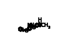 Cc1cc2cc(Oc3ncnc4cc(OCCN5CCCCC5)ccc34)ccc2[nH]1